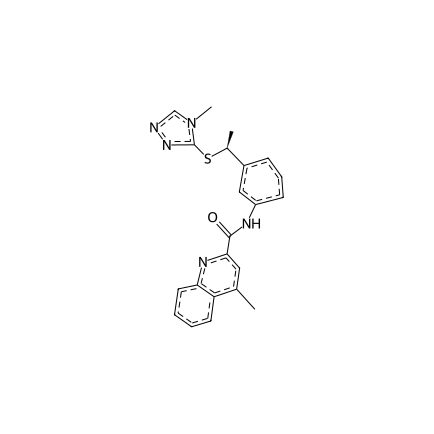 Cc1cc(C(=O)Nc2cccc([C@H](C)Sc3nncn3C)c2)nc2ccccc12